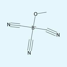 CO[B-](C#N)(C#N)C#N